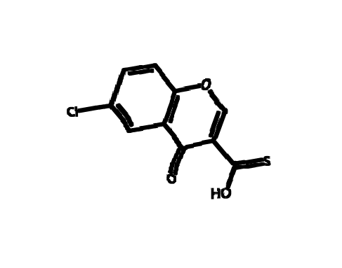 O=c1c(C(O)=S)coc2ccc(Cl)cc12